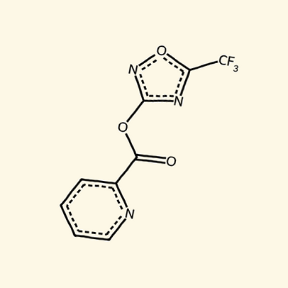 O=C(Oc1noc(C(F)(F)F)n1)c1ccccn1